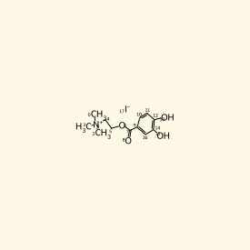 C[N+](C)(C)CCOC(=O)c1ccc(O)c(O)c1.[I-]